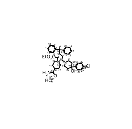 CCOC(=O)C[N+]1(C(CCC(C)(c2ccccc2)c2ccccc2)N2CCC(O)(c3ccc(Cl)cc3)CC2)CCC(C(N)=O)CC1.Cl.Cl